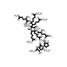 CC(C)CC(C(=O)O)(C(CCCC(=O)C(=O)O)[C@@](CCCC(=O)C(=O)O)(OC(=O)C(N)CCC(N)=O)C(=O)O)N(C)C(CCCC(=O)C(=O)O)[C@@](CCCC(=O)C(=O)O)(OC(=O)[C@@H](N)CCC(N)=O)C(=O)O.CNC(CC(C)C)C(=O)O.O=C(O)C1CCCC1.O=C1CC[C@@H](C(=O)O)N1